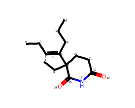 CC/C=C(\CCC)C1(CC)CCC(=O)NC1=O